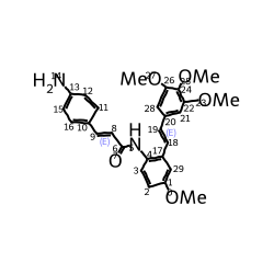 COc1ccc(NC(=O)/C=C/c2ccc(N)cc2)c(/C=C/c2cc(OC)c(OC)c(OC)c2)c1